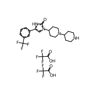 O=C(O)C(F)(F)F.O=C(O)C(F)(F)F.O=c1[nH]c(-c2cccc(C(F)(F)F)c2)cn1C1CCN(C2CCNCC2)CC1